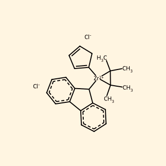 C[C]1(C)[C](C)(C)[Zr+2]1([C]1=CC=CC1)[CH]1c2ccccc2-c2ccccc21.[Cl-].[Cl-]